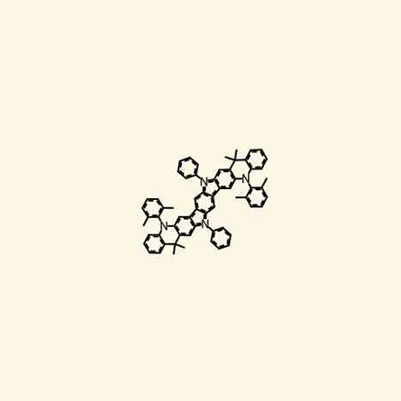 Cc1cccc(C)c1N1c2ccccc2C(C)(C)c2cc3c(cc21)c1cc2c(cc1n3-c1ccccc1)c1cc3c(cc1n2-c1ccccc1)C(C)(C)c1ccccc1N3c1c(C)cccc1C